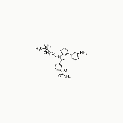 C[Si](C)(C)CCOCn1c(-c2cccc(S(N)(=O)=O)c2)cc2c(-c3ccnc(N)c3)ccnc21